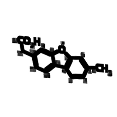 Cc1ccc2c(c1)oc1cc(CC(=O)O)ccc12